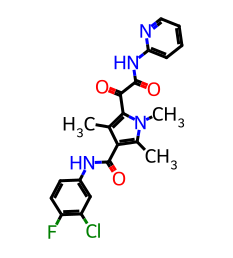 Cc1c(C(=O)Nc2ccc(F)c(Cl)c2)c(C)n(C)c1C(=O)C(=O)Nc1ccccn1